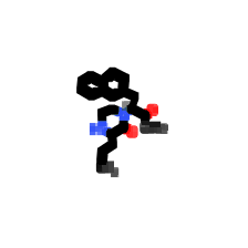 C=CCC1NCCN([C@@H](Cc2ccc3ccccc3c2)C(=O)OC)C1=O